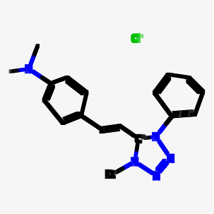 CCn1nnn(-c2ccccc2)[c+]1C=Cc1ccc(N(C)C)cc1.[Cl-]